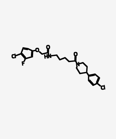 O=C(COc1ccc(Cl)c(F)c1)NCCCCC(=O)N1CCC(c2ccc(Cl)cc2)CC1